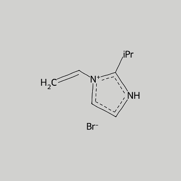 C=C[n+]1cc[nH]c1C(C)C.[Br-]